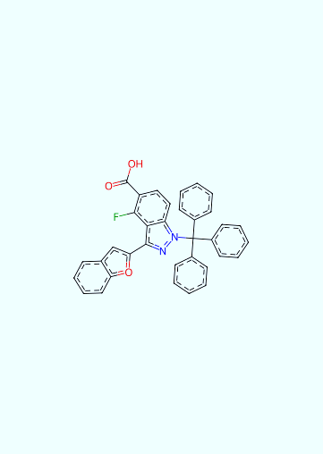 O=C(O)c1ccc2c(c(-c3cc4ccccc4o3)nn2C(c2ccccc2)(c2ccccc2)c2ccccc2)c1F